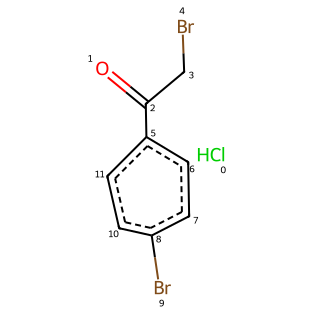 Cl.O=C(CBr)c1ccc(Br)cc1